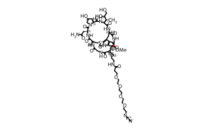 CC[C@H](C)[C@@H]1NC(=O)CNC(=O)[C@@H]2Cc3c([nH]c4c(CSCCNC(=O)CCOCCOCCOCCOCCN=[N+]=[N-])c(OC)ccc34)[S+]([O-])C[C@H](NC(=O)CNC1=O)C(=O)N[C@@H](CC(N)=O)C(=O)N1C[C@H](O)C[C@H]1C(=O)N[C@@H]([C@@H](C)[C@@H](O)CO)C(=O)N2